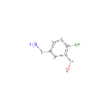 NCc1ccc(Cl)c(C[O])c1